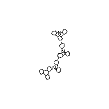 c1ccc2c(c1)c1ccccc1c1cc(-n3c4ccccc4c4cc(-c5ccc6c(c5)c5ccccc5n6-c5ccc(-c6cc7c8ccccc8n8c9ccccc9c(c6)c78)cc5)ccc43)ccc21